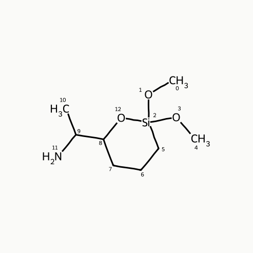 CO[Si]1(OC)CCCC(C(C)N)O1